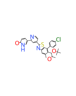 CC(=O)[C@@H](OC(C)(C)C)c1c(C)cc2nc(-c3ccnc(-c4ccc(=O)[nH]c4)c3)sc2c1-c1ccc(Cl)cc1